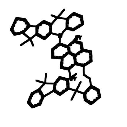 Cc1cc2c(cc1C(C)(C)c1ccccc1CCc1ccc3cc(C(C)C)c4c(N5c6ccccc6C(C)(C)c6cc7c(cc65)C(C)(C)c5ccccc5-7)ccc5cc(C(C)C)c1c3c54)-c1ccccc1C2(C)C